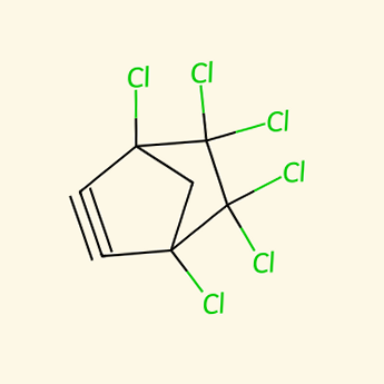 ClC12C#CC(Cl)(C1)C(Cl)(Cl)C2(Cl)Cl